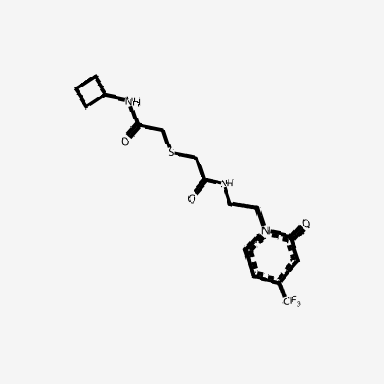 O=C(CSCC(=O)NC1CCC1)NCCn1ccc(C(F)(F)F)cc1=O